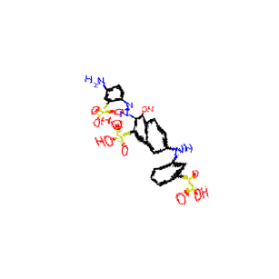 Nc1ccc(N=Nc2c(S(=O)(=O)O)cc3cc(Nc4cccc(S(=O)(=O)O)c4)ccc3c2O)c(S(=O)(=O)O)c1